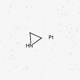 C1CN1.[Pt]